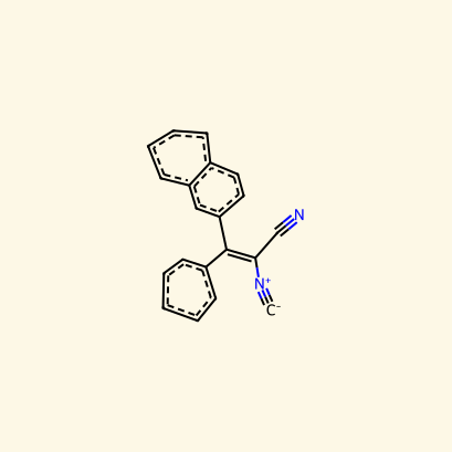 [C-]#[N+]/C(C#N)=C(\c1ccccc1)c1ccc2ccccc2c1